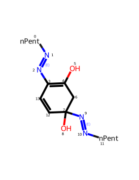 CCCCC/N=N/C1=C(O)CC(O)(/N=N/CCCCC)C=C1